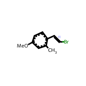 COc1ccc(/C=C/Br)c(C)c1